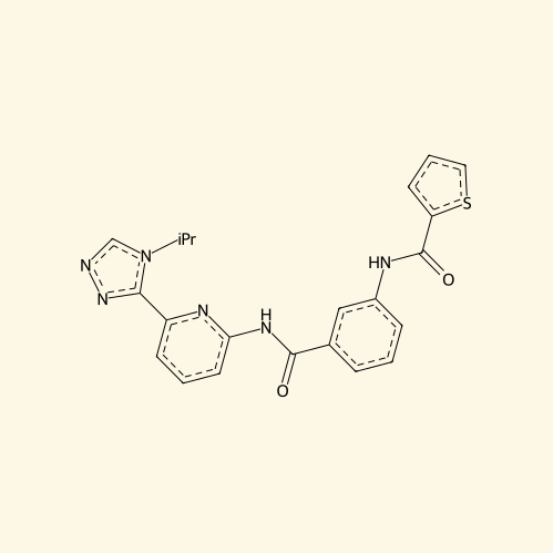 CC(C)n1cnnc1-c1cccc(NC(=O)c2cccc(NC(=O)c3cccs3)c2)n1